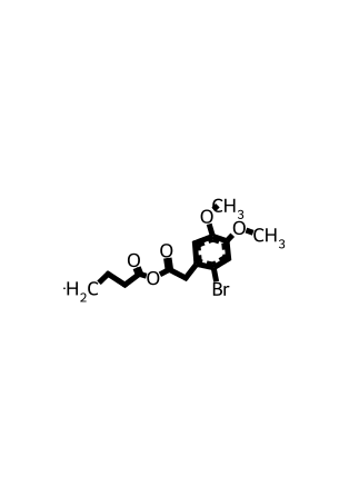 [CH2]CCC(=O)OC(=O)Cc1cc(OC)c(OC)cc1Br